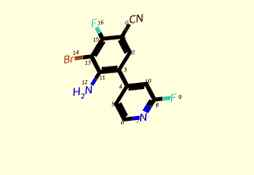 N#Cc1cc(-c2ccnc(F)c2)c(N)c(Br)c1F